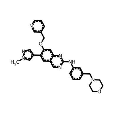 Cn1cc(-c2cc3cnc(Nc4cccc(CN5CCOCC5)c4)nc3cc2OCc2cccnc2)cn1